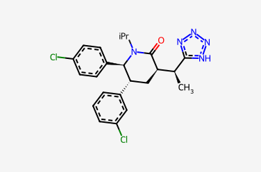 CC(C)N1C(=O)[C@@H]([C@H](C)c2nnn[nH]2)C[C@H](c2cccc(Cl)c2)[C@H]1c1ccc(Cl)cc1